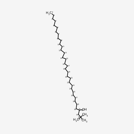 CCCCCCCCCCCCCCCCCCCCCCCCCCCCCCCC(O)CC(C)(C)C